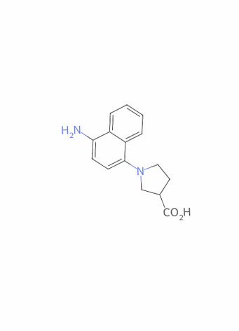 Nc1ccc(N2CCC(C(=O)O)C2)c2ccccc12